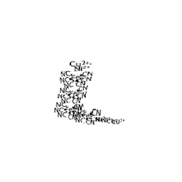 N#[C][Fe-3]([C]#N)([C]#N)([C]#N)([C]#N)[C]#N.N#[C][Fe-3]([C]#N)([C]#N)([C]#N)([C]#N)[C]#N.N#[C][Fe-3]([C]#N)([C]#N)([C]#N)([C]#N)[C]#N.N#[C][Fe-3]([C]#N)([C]#N)([C]#N)([C]#N)[C]#N.[Cu+2].[Cu+2].[Cu+2].[Ni+2].[Ni+2].[Ni+2]